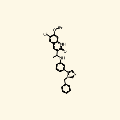 CC(C)Oc1cc2[nH]c(=O)c(C(C)Nc3cccc(-c4cncn4Cc4ccccc4)c3)cc2cc1Cl